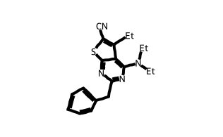 CCc1c(C#N)sc2nc(Cc3ccccc3)nc(N(CC)CC)c12